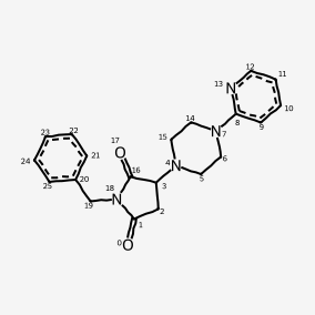 O=C1CC(N2CCN(c3ccccn3)CC2)C(=O)N1Cc1ccccc1